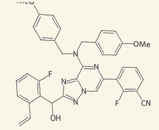 C=Cc1cccc(F)c1C(O)c1nc2c(N(Cc3ccc(OC)cc3)Cc3ccc(OC)cc3)nc(-c3cccc(C#N)c3F)cn2n1